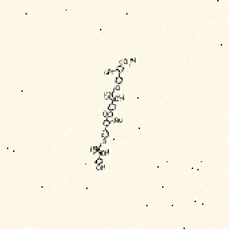 CCCc1cc(C(=O)O)ccc1-c1ccc(OCCN[C@H](C)[C@@H](O)c2ccc(OC(=O)c3ccc(-c4ccc(OCCN[C@H](C)[C@@H](O)c5ccc(O)cc5)cc4)cc3C(C)CC)cc2)cc1